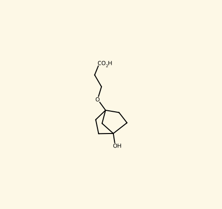 O=C(O)CCOC12CCC(O)(CC1)C2